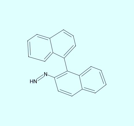 N=Nc1ccc2ccccc2c1-c1cccc2ccccc12